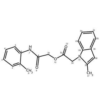 Cc1ccccc1NC(=O)COC(=O)Cn1c(C)cc2ccccc21